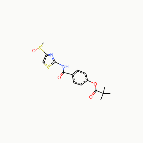 C[S+]([O-])c1csc(NC(=O)c2ccc(OC(=O)C(C)(C)C)cc2)n1